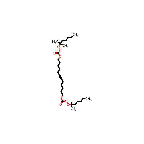 CCCCCC(C)(C)OOC(=O)OCCCCCC#CCCCCCOC(=O)OOC(C)(C)CCCCC